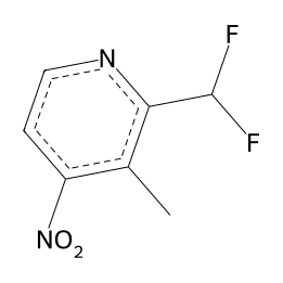 Cc1c([N+](=O)[O-])ccnc1C(F)F